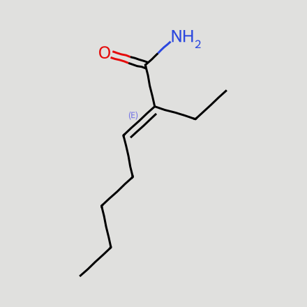 CCCC/C=C(\CC)C(N)=O